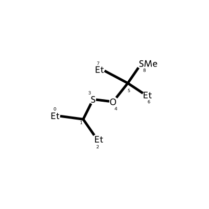 CCC(CC)SOC(CC)(CC)SC